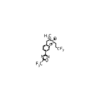 CN(Cc1ccc(-c2noc(C(F)(F)F)n2)cc1)S(=O)(=O)CCC(F)(F)F